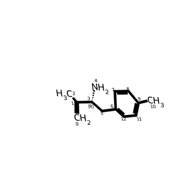 C=C(C)[C@H](N)Cc1ccc(C)cc1